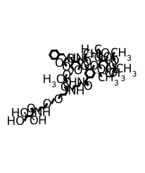 CC[C@@H]1CC(C(=O)NCCNC(=O)CCOCCOCCNC(=O)[C@@H](O)[C@H](O)CO)CC(O[C@@H]2O[C@@H](COC(C)=O)C3OC(=O)[C@@H](CC4CCCCC4)OC3C2NC(C)=O)C1OC1OC(C)C(OC(C)=O)C(OC(C)=O)C1OC(C)=O